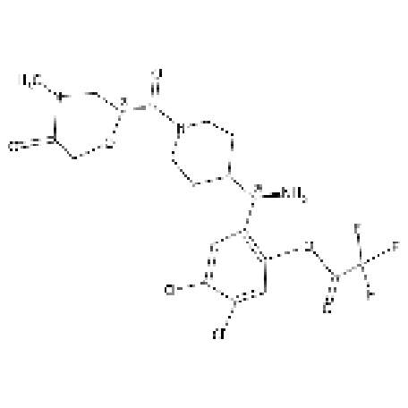 CN1C[C@H](C(=O)N2CCC([C@@H](N)c3cc(Cl)c(Cl)cc3OC(=O)C(F)(F)F)CC2)OCC1=O